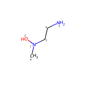 CN(O)CCN